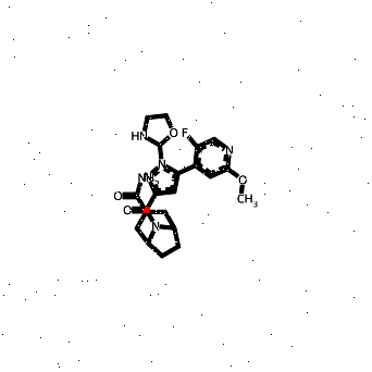 COc1cc(-c2cc(C(=O)N3C4CCC3CC(C(N)=O)C4)nn2C2NCCO2)c(F)cn1